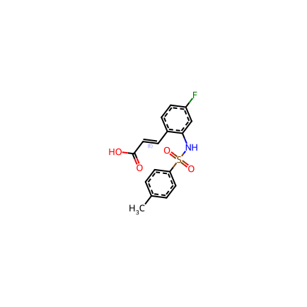 Cc1ccc(S(=O)(=O)Nc2cc(F)ccc2/C=C/C(=O)O)cc1